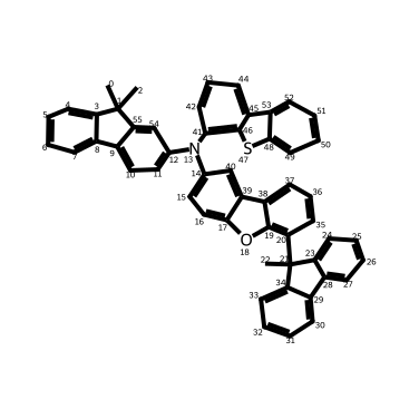 CC1(C)c2ccccc2-c2ccc(N(c3ccc4oc5c(C6(C)c7ccccc7-c7ccccc76)cccc5c4c3)c3cccc4c3sc3ccccc34)cc21